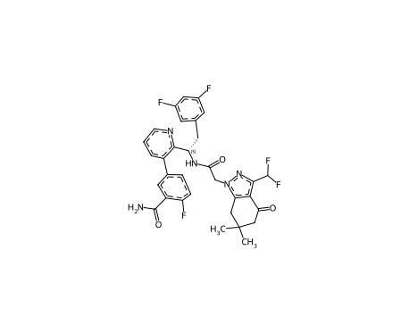 CC1(C)CC(=O)c2c(C(F)F)nn(CC(=O)N[C@@H](Cc3cc(F)cc(F)c3)c3ncccc3-c3ccc(F)c(C(N)=O)c3)c2C1